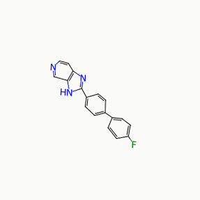 Fc1ccc(-c2ccc(-c3nc4ccncc4[nH]3)cc2)cc1